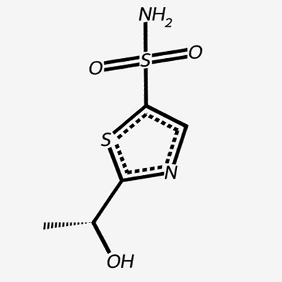 C[C@@H](O)c1ncc(S(N)(=O)=O)s1